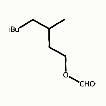 CCC(C)CC(C)CCO[C]=O